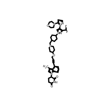 Cc1cn(C2CCC(=O)NC2=O)c2cccc(C#CCOC3CCN(CC4CCC(n5cc(-n6nccc6N6CCOCC6)c(C(F)F)n5)CC4)CC3)c12